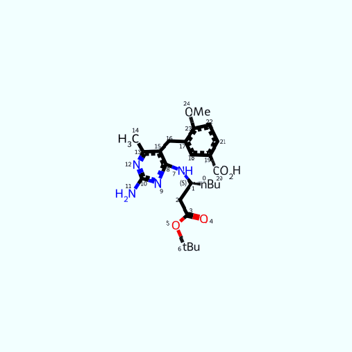 CCCC[C@@H](CC(=O)OC(C)(C)C)Nc1nc(N)nc(C)c1Cc1cc(C(=O)O)ccc1OC